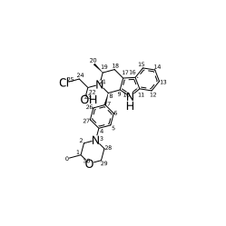 CC1CN(c2ccc([C@@H]3c4[nH]c5ccccc5c4C[C@H](C)N3C(O)CCl)cc2)CCO1